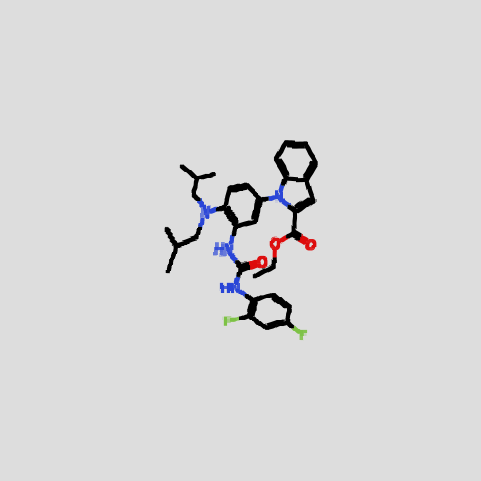 CCOC(=O)c1cc2ccccc2n1-c1ccc(N(CC(C)C)CC(C)C)c(NC(=O)Nc2ccc(F)cc2F)c1